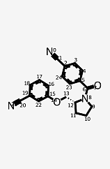 N#Cc1ccc(C(=O)N2CCC[C@@H]2COc2cccc(C#N)c2)cc1